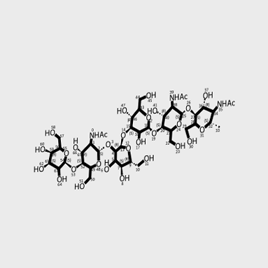 CC(=O)NC1[C@H](OC2C(O)[C@H](O)[C@@H](CO)O[C@@H]2O[C@@H]2C(O)[C@H](O[C@@H]3C(CO)O[C@@H](O[C@@H]4C(CO)O[C@@H](C)C(NC(C)=O)[C@H]4O)C(NC(C)=O)[C@H]3O)OC(CO)[C@H]2O)OC(CO)[C@@H](O[C@@H]2OC(CO)[C@H](O)[C@H](O)C2O)[C@@H]1O